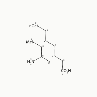 CCCCCCCCCCCCCC(=O)O.CNCC(C)N